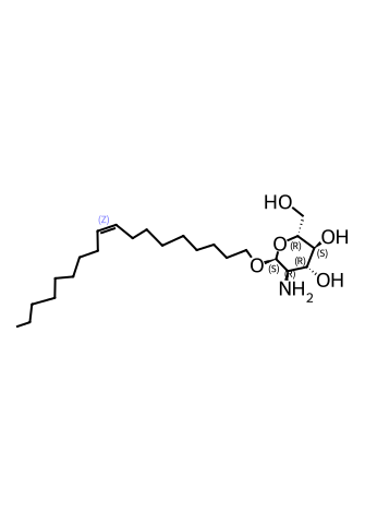 CCCCCCCC/C=C\CCCCCCCCO[C@H]1O[C@H](CO)[C@@H](O)[C@H](O)[C@H]1N